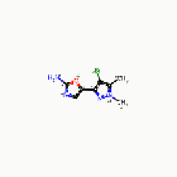 Cc1c(Br)c(-c2cnc(N)o2)nn1C